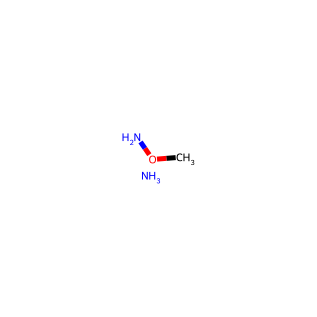 CON.N